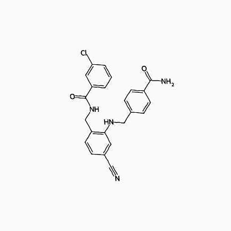 N#Cc1ccc(CNC(=O)c2cccc(Cl)c2)c(NCc2ccc(C(N)=O)cc2)c1